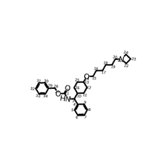 O=C(NC(c1ccccc1)C1CCC(OCCCCCCN2CCC2)CC1)OCc1ccccc1